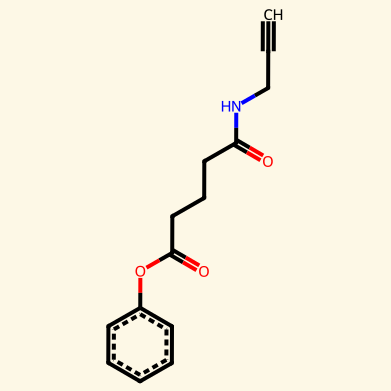 C#CCNC(=O)CCCC(=O)Oc1ccccc1